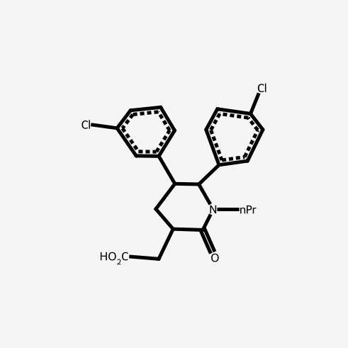 CCCN1C(=O)C(CC(=O)O)CC(c2cccc(Cl)c2)C1c1ccc(Cl)cc1